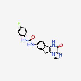 O=C(Nc1ccc(F)cc1)Nc1ccc2c(c1)Cc1c-2[nH]c(=O)c2nccn12